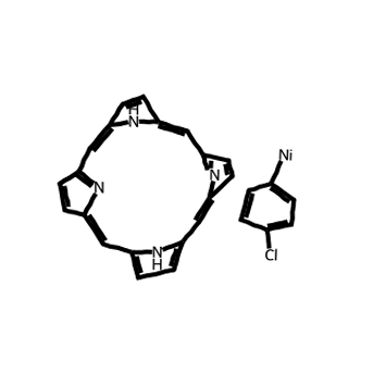 C1=Cc2cc3ccc(cc4nc(cc5ccc(cc1n2)[nH]5)C=C4)[nH]3.Clc1cc[c]([Ni])cc1